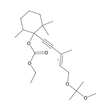 CCOC(=O)OC1(C#C/C(C)=C/COC(C)(C)OC)C(C)CCCC1(C)C